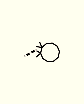 CC1(C)CCCCCCCCC1(C)N=C=O